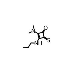 CCCNc1c(N(C)C)c(=O)c1=S